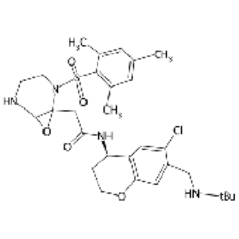 Cc1cc(C)c(S(=O)(=O)N2CCNC3OC32CC(=O)N[C@@H]2CCOc3cc(CNC(C)(C)C)c(Cl)cc32)c(C)c1